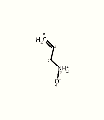 C=CC[NH2+][O-]